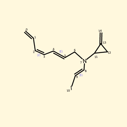 C=C/C=C\C=C\CN(/C=C/I)C1CC1=C